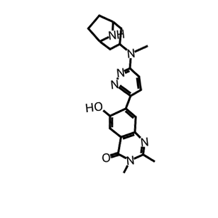 Cc1nc2cc(-c3ccc(N(C)C4CC5CCC(C4)N5)nn3)c(O)cc2c(=O)n1C